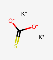 [K+].[K+].[O-]C([O-])=S